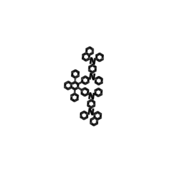 c1ccc(-c2c(-c3ccc(N(c4ccccc4)c4ccc(N(c5ccccc5)c5cccc6ccccc56)cc4)cc3)c(-c3ccc(N(c4ccccc4)c4ccc(N(c5ccccc5)c5cccc6ccccc56)cc4)cc3)c(-c3ccccc3)c3ccccc23)cc1